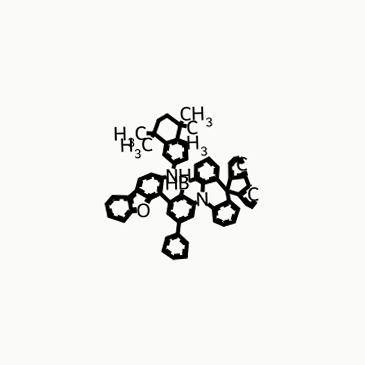 CC1(C)CCC(C)(C)c2cc(Nc3ccc4c(oc5ccccc54)c3-c3cc(-c4ccccc4)cc4c3Bc3cccc5c3N4c3ccccc3C53c4ccccc4-c4ccccc43)ccc21